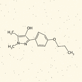 CCCOc1ccc(-c2nn(C)c(C)c2O)cc1